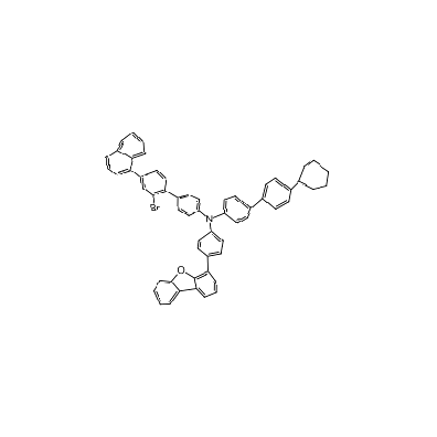 Brc1cc(-c2cccc3ccccc23)ccc1-c1ccc(N(c2ccc(-c3ccc(C4CCCCC4)cc3)cc2)c2ccc(-c3cccc4c3oc3ccccc34)cc2)cc1